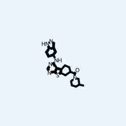 CC1CCCN(C(=O)C2CCc3c(sc4ncnc(Nc5ccc6[nH]ncc6c5)c34)C2)C1